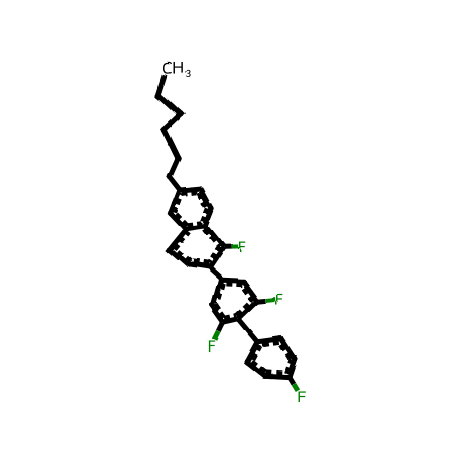 CCCCCCc1ccc2c(F)c(-c3cc(F)c(-c4ccc(F)cc4)c(F)c3)ccc2c1